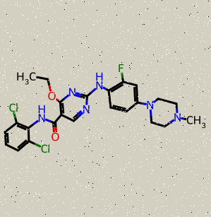 CCOc1nc(Nc2ccc(N3CCN(C)CC3)cc2F)ncc1C(=O)Nc1c(Cl)cccc1Cl